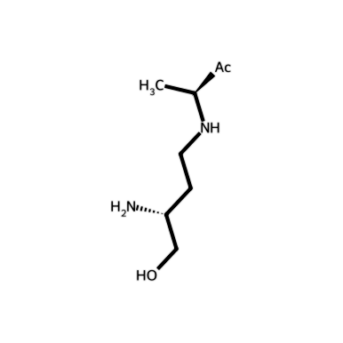 CC(=O)[C@H](C)NCC[C@@H](N)CO